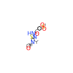 CCS(=O)(=O)c1ccc(CC(=O)Nc2nc3c(s2)CN(C[C@H]2CCCOC2)C3C(C)C)cc1